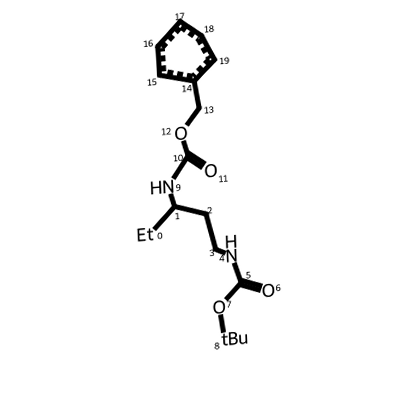 CCC(CCNC(=O)OC(C)(C)C)NC(=O)OCc1ccccc1